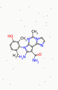 Cc1ccc(O)c(C)c1-n1c(N)c(C(N)=O)c2c1nc(C)n1ccnc21